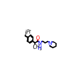 CC(C)Cc1ccc(C(C)C(=O)NCCCN2CCCCC2)cc1